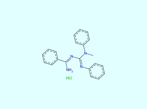 CN(C(N=C(N)c1ccccc1)=Nc1ccccc1)c1ccccc1.Cl